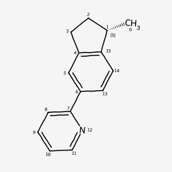 C[C@H]1CCc2cc(-c3ccccn3)ccc21